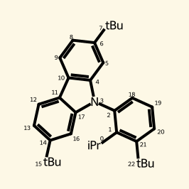 CC(C)c1c(-n2c3cc(C(C)(C)C)ccc3c3ccc(C(C)(C)C)cc32)cccc1C(C)(C)C